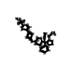 CO[C@@H]1CCC[C@H]1C(C#N)(c1ccccc1)C1CCN(CC2CN(c3ccc(S(C)(=O)=O)cc3)C2)CC1